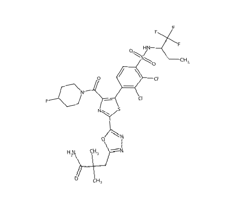 CCC(NS(=O)(=O)c1ccc(-c2sc(-c3nnc(CC(C)(C)C(N)=O)o3)nc2C(=O)N2CCC(F)CC2)c(Cl)c1Cl)C(F)(F)F